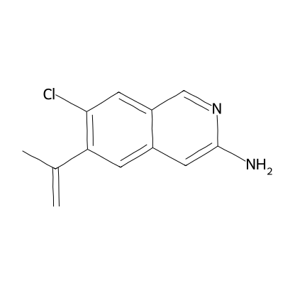 C=C(C)c1cc2cc(N)ncc2cc1Cl